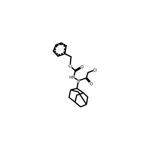 O=C(NN(C(=O)CCl)C1C2CC3CC(C2)CC1C3)OCc1ccccc1